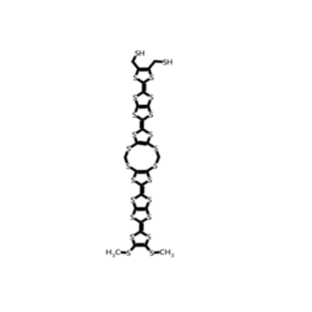 CSC1=C(SC)SC(=C2SC3=C(S2)SC(=C2SC4=C(SCSC5=C(SCS4)SC(=C4SC6=C(SC(=C7SC(CS)=C(CS)S7)S6)S4)S5)S2)S3)S1